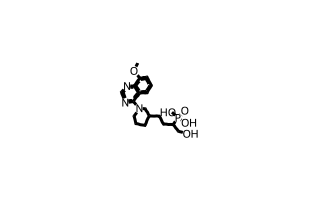 COc1cccc2c(N3CCCC(CCC(CO)P(=O)(O)O)C3)ncnc12